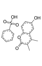 Cc1c(C)c2cc(O)ccc2oc1=O.O=S(=O)(O)c1ccccc1